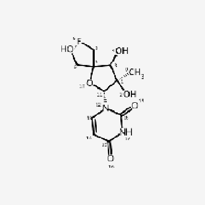 C[C@@]1(O)[C@H](O)C(CO)(CF)O[C@H]1n1ccc(=O)[nH]c1=O